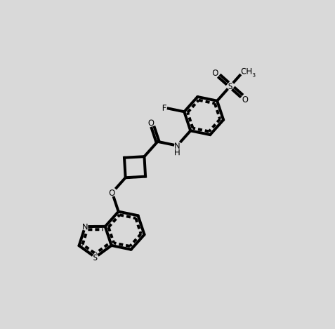 CS(=O)(=O)c1ccc(NC(=O)C2CC(Oc3cccc4scnc34)C2)c(F)c1